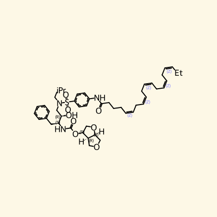 CC/C=C\C/C=C\C/C=C\C/C=C\C/C=C\CCCC(=O)Nc1ccc(S(=O)(=O)N(CC(C)C)C[C@@H](O)[C@H](Cc2ccccc2)NC(=O)O[C@H]2CO[C@H]3COC[C@H]32)cc1